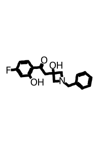 O=C(CC1(O)CN(Cc2ccccc2)C1)c1ccc(F)cc1O